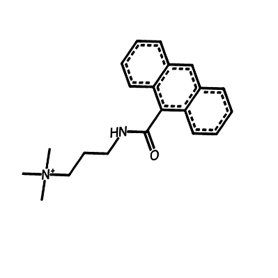 C[N+](C)(C)CCCNC(=O)c1c2ccccc2cc2ccccc12